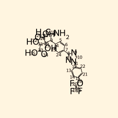 CC(N)C(c1ccc(-c2ncn(-c3ccc(OC(F)(F)F)cc3)n2)cc1)[C@@](O)(C(=O)O)[C@H](O)C(=O)O